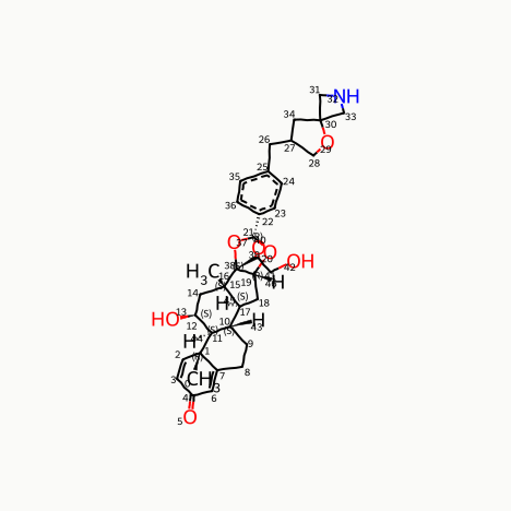 C[C@]12C=CC(=O)C=C1CC[C@@H]1[C@@H]2[C@@H](O)C[C@@]2(C)[C@H]1C[C@H]1O[C@@H](c3ccc(CC4COC5(CNC5)C4)cc3)O[C@]12C(=O)CO